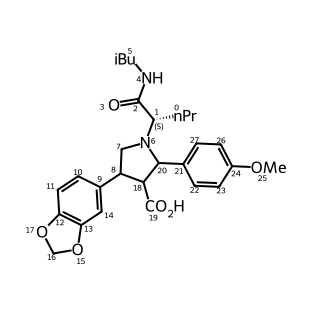 CCC[C@@H](C(=O)NC(C)CC)N1CC(c2ccc3c(c2)OCO3)C(C(=O)O)C1c1ccc(OC)cc1